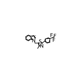 Cc1nc(-c2ccc(C(F)(F)F)cc2)sc1Cn1c[c]c2ccccc21